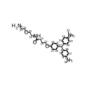 CN(C)c1ccc(C(c2ccc(OCCCC(=O)NCCOCCN)cc2)c2ccc(N(C)C)cc2)cc1